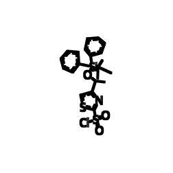 CC(O[Si](c1ccccc1)(c1ccccc1)C(C)(C)C)c1csc(S(=O)(=O)Cl)n1